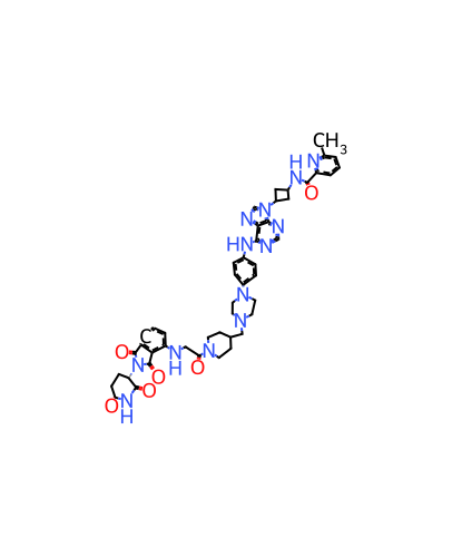 Cc1cccc(C(=O)NC2CC(n3cnc4c(Nc5ccc(N6CCN(CC7CCN(C(=O)CNc8cccc9c8C(=O)N([C@H]8CCC(=O)NC8=O)C9=O)CC7)CC6)cc5)ncnc43)C2)n1